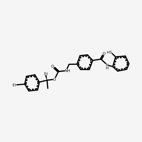 CCc1ccc([C@](C)(CC)OC(=O)NCc2ccc(C(=O)Nc3ccccc3S)cc2)cc1